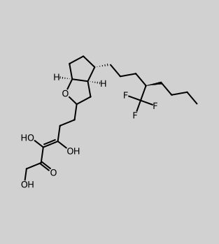 CCCC[C@H](CCC[C@H]1CC[C@@H]2OC(CCC(O)=C(O)C(=O)CO)C[C@H]12)C(F)(F)F